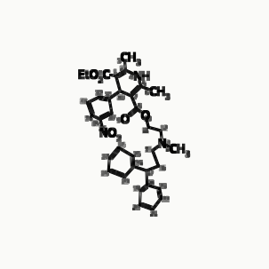 CCOC(=O)C1=C(C)NC(C)=C(C(=O)OCCN(C)CCC(c2ccccc2)c2ccccc2)C1c1cccc([N+](=O)[O-])c1